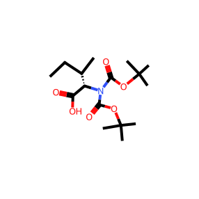 CCC(C)[C@@H](C(=O)O)N(C(=O)OC(C)(C)C)C(=O)OC(C)(C)C